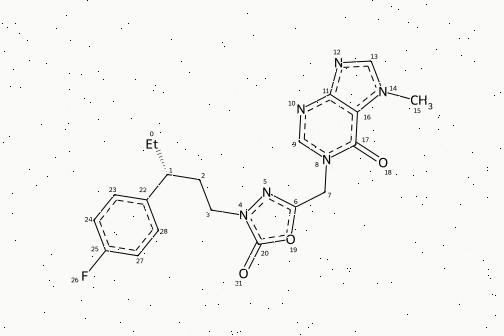 CC[C@H](CCn1nc(Cn2cnc3ncn(C)c3c2=O)oc1=O)c1ccc(F)cc1